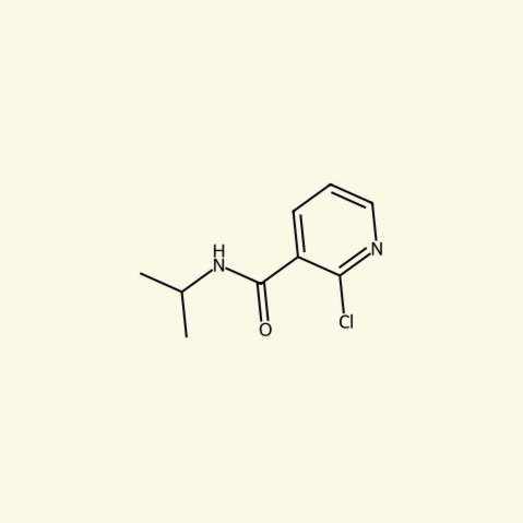 CC(C)NC(=O)c1cccnc1Cl